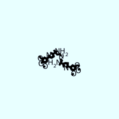 COc1cc(-c2ccc(C(C)(N)CCN(C)CCC(C)(N)c3ccc(-c4cc(OC)c(OC)c(OC)c4)nc3)cn2)cc(OC)c1OC